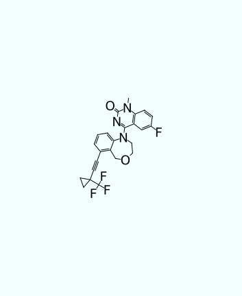 Cn1c(=O)nc(N2CCOCc3c(C#CC4(C(F)(F)F)CC4)cccc32)c2cc(F)ccc21